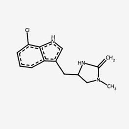 C=C1NC(Cc2c[nH]c3c(Cl)cccc23)CN1C